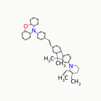 C=CC1=C(/C=C\C)N(c2ccc3c(c2)C(C)(C)c2cc(/C=C/c4ccc(N5c6ccccc6Oc6ccccc65)cc4)ccc2-3)CCC1